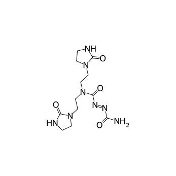 NC(=O)N=NC(=O)N(CCN1CCNC1=O)CCN1CCNC1=O